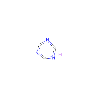 I.c1ncncn1